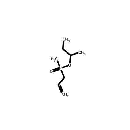 C=CCP(C)(=O)OC(C)CC